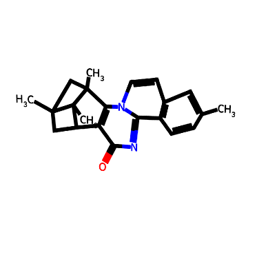 Cc1ccc2c(ccn3c4c(c(=O)nc23)C2CC3(C)CC4(C)C23C)c1